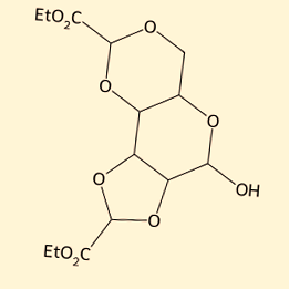 CCOC(=O)C1OCC2OC(O)C3OC(C(=O)OCC)OC3C2O1